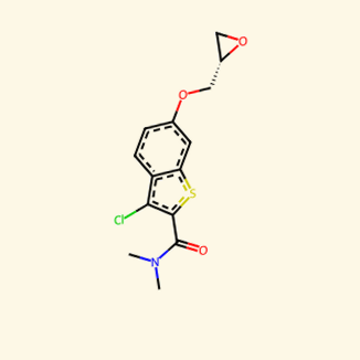 CN(C)C(=O)c1sc2cc(OC[C@@H]3CO3)ccc2c1Cl